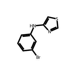 Brc1cccc(Nc2cscn2)c1